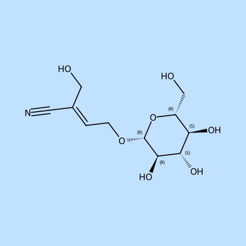 N#CC(=CCO[C@@H]1O[C@H](CO)[C@@H](O)[C@H](O)[C@H]1O)CO